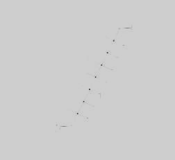 CN(F)CC(F)(F)C(F)(F)C(F)(F)C(F)(F)C(F)(F)C(F)(F)C(F)(F)C(F)F